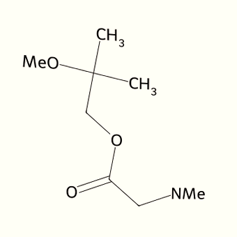 CNCC(=O)OCC(C)(C)OC